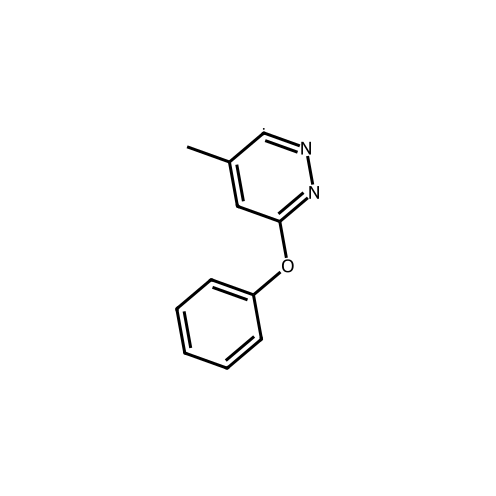 Cc1[c]nnc(Oc2ccccc2)c1